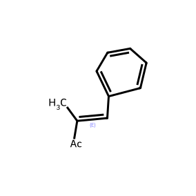 CC(=O)/C(C)=C/c1ccccc1